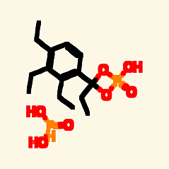 CCc1ccc(C2(CC)OP(=O)(O)O2)c(CC)c1CC.O=[PH](O)O